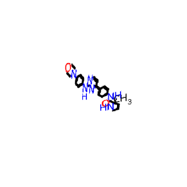 C[C@@]1(C(=O)Nc2ccc(-c3ccnc(Nc4ccc(N5CCOCC5)cc4)n3)cc2)CCCN1